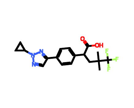 CC(C)(CC(C(=O)O)c1ccc(-c2cnn(C3CC3)n2)cc1)C(F)(F)F